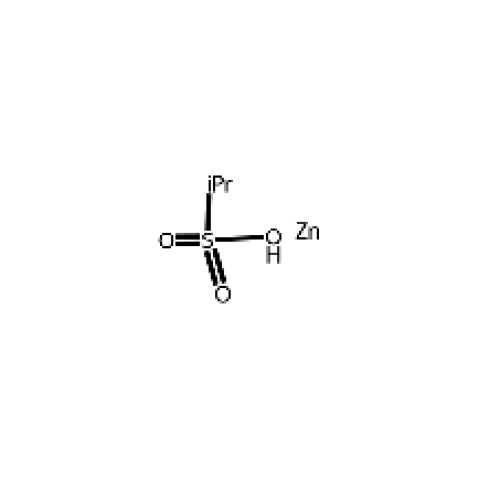 CC(C)S(=O)(=O)O.[Zn]